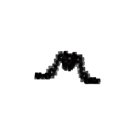 COc1ccc(C=CC=Cc2ccc3sc(C)c(C4=C(c5c(C)sc6ccc(C=CC=Cc7ccc(OC)cc7)cc56)C(F)(F)C(F)(F)C4(F)F)c3c2)cc1